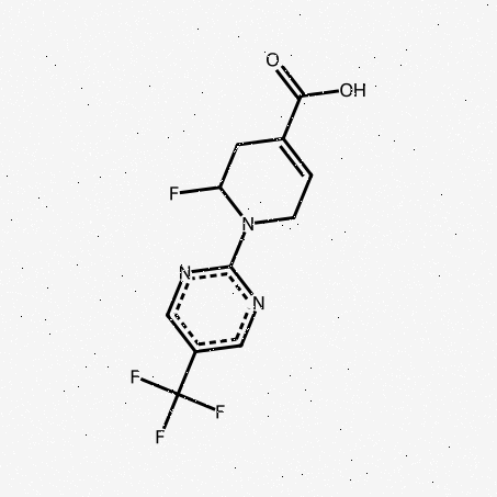 O=C(O)C1=CCN(c2ncc(C(F)(F)F)cn2)C(F)C1